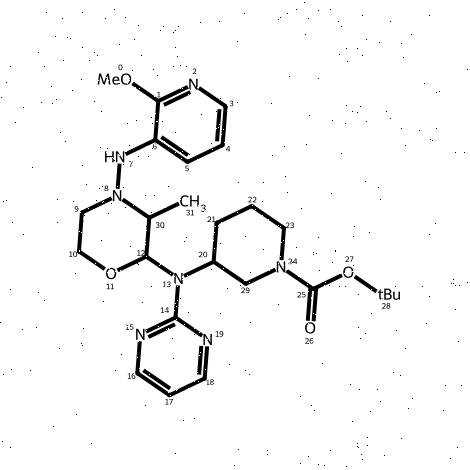 COc1ncccc1NN1CCOC(N(c2ncccn2)C2CCCN(C(=O)OC(C)(C)C)C2)C1C